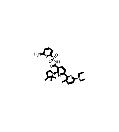 CCN(CC)c1ccc(C)c(-c2ccc(C(=O)NS(=O)(=O)c3cccc(N)n3)c(N3CCC(C)C3(C)C)n2)n1